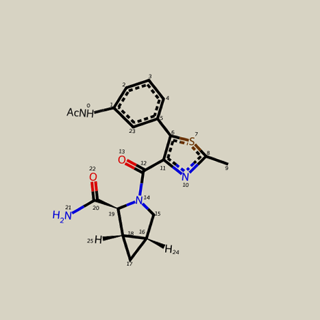 CC(=O)Nc1cccc(-c2sc(C)nc2C(=O)N2C[C@@H]3C[C@@H]3[C@H]2C(N)=O)c1